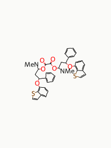 CNC(CC(Oc1cccc2ccsc12)c1ccccc1)OC(=O)C(=O)OC(CC(Oc1cccc2ccsc12)c1ccccc1)NC